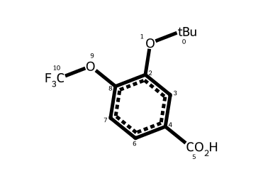 CC(C)(C)Oc1cc(C(=O)O)ccc1OC(F)(F)F